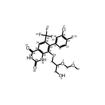 COCOC(CO)CSc1c(-c2ccc(F)c(Cl)c2)c(C(F)(F)F)cc2c(=O)[nH]c(=O)[nH]c12